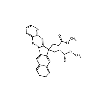 COC(=O)CCC1(CCC(=O)OC)c2cc3c(cc2-c2nc4ccccc4cc21)=CCCC=3